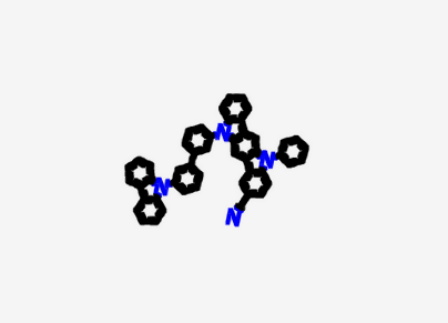 N#Cc1ccc2c(c1)c1cc3c(cc1n2-c1ccccc1)c1ccccc1n3-c1cccc(-c2cccc(-n3c4ccccc4c4ccccc43)c2)c1